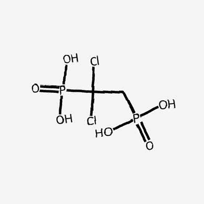 O=P(O)(O)CC(Cl)(Cl)P(=O)(O)O